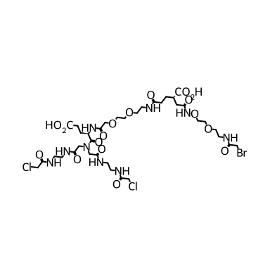 O=C(O)CC[C@@H](NC(=O)COCCOCCNC(=O)CC[C@@H](CC(=O)NOCCOCCNC(=O)CBr)C(=O)O)C(=O)N(CC(=O)NCCNC(=O)CCl)CC(=O)NCCNC(=O)CCl